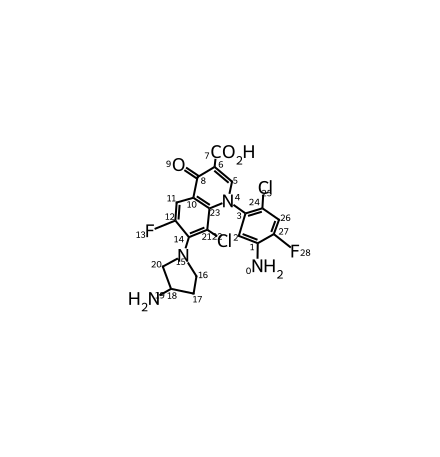 Nc1cc(-n2cc(C(=O)O)c(=O)c3cc(F)c(N4CCC(N)C4)c(Cl)c32)c(Cl)cc1F